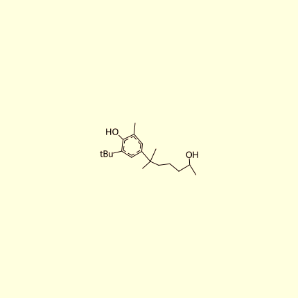 Cc1cc(C(C)(C)CCCC(C)O)cc(C(C)(C)C)c1O